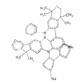 CCCCc1ccc(N2c3cc4c(cc3B3c5c(cc(CCCC)cc52)-c2cc5c(cc2N3c2ccccc2)C(C)(C)CCC5(C)C)-c2ccccc2C4(C)C)c(-c2ccccc2)c1